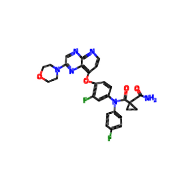 NC(=O)C1(C(=O)N(c2ccc(F)cc2)c2ccc(Oc3ccnc4ncc(N5CCOCC5)nc34)c(F)c2)CC1